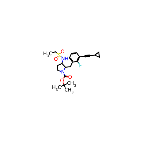 CCS(=O)(=O)NC1CCN(C(=O)OC(C)(C)C)C1Cc1cccc(C#CC2CC2)c1F